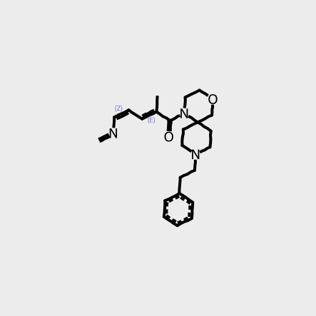 C=N/C=C\C=C(/C)C(=O)N1CCOCC12CCN(CCc1ccccc1)CC2